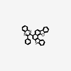 c1ccc(-c2nc3ccccc3nc2-c2cc3sc4ccccc4c3c3c2ccc2c4ccccc4oc23)cc1